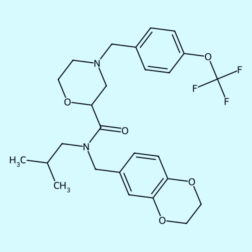 CC(C)CN(Cc1ccc2c(c1)OCCO2)C(=O)C1CN(Cc2ccc(OC(F)(F)F)cc2)CCO1